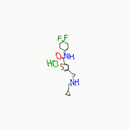 Cl.O=C(NC1CCC(F)(F)CC1)c1cc(C2CC2NCC2CC2)cs1